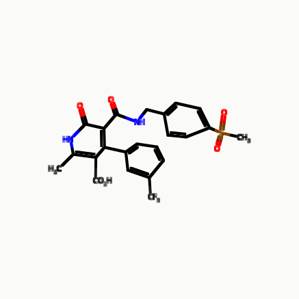 Cc1[nH]c(=O)c(C(=O)NCc2ccc(S(C)(=O)=O)cc2)c(-c2cccc(C(F)(F)F)c2)c1C(=O)O